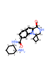 N[C@@H]1CCCC[C@@H]1NC(=O)c1ccc2cc3n(c2c1)C1(CCC1)CNC3=O